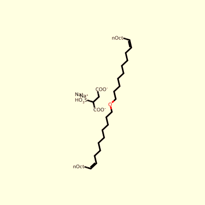 CCCCCCCC/C=C\CCCCCCCCOCCCCCCCC/C=C\CCCCCCCC.O=C([O-])CC(C(=O)[O-])S(=O)(=O)O.[Na+].[Na+]